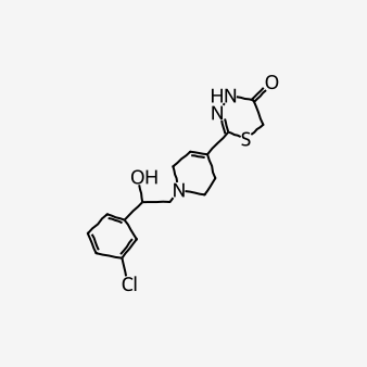 O=C1CSC(C2=CCN(CC(O)c3cccc(Cl)c3)CC2)=NN1